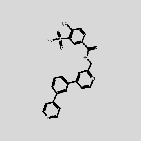 Cc1ccc(C(=O)NCc2cc(-c3cccc(-c4ccncc4)c3)ccn2)cc1S(C)(=O)=O